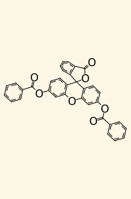 O=C(Oc1ccc2c(c1)Oc1cc(OC(=O)c3ccccc3)ccc1C21OC(=O)c2ccccc21)c1ccccc1